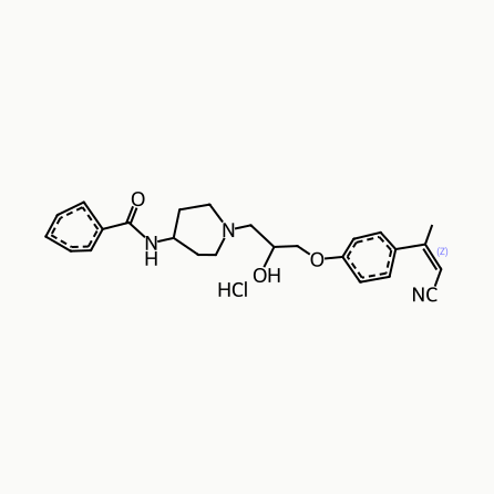 C/C(=C/C#N)c1ccc(OCC(O)CN2CCC(NC(=O)c3ccccc3)CC2)cc1.Cl